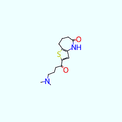 CN(C)CCCC(=O)c1cc2c(s1)CCCC(=O)N2